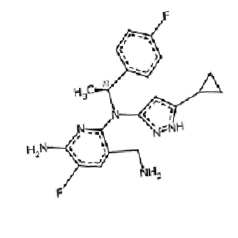 C[C@@H](c1ccc(F)cc1)N(c1cc(C2CC2)[nH]n1)c1nc(N)c(F)cc1CN